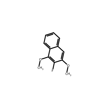 COc1cc2ccccc2c(OC)c1F